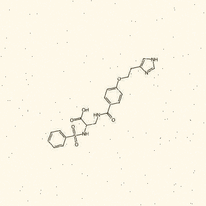 O=C(NCC(NS(=O)(=O)c1ccccc1)C(=O)O)c1ccc(OCCc2c[nH]cn2)cc1